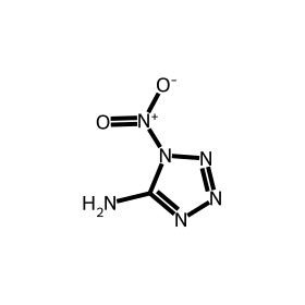 Nc1nnnn1[N+](=O)[O-]